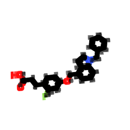 O=C(O)CCc1ccc(OCc2cccc3c2ccn3Cc2ccccc2)cc1F